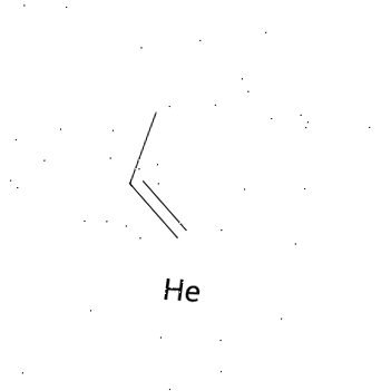 C=CC.[He]